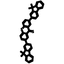 CC1(C)c2ccccc2-c2ccc(-c3ccc4sc5ccc(-c6ccc7c(c6)C(C)(C)c6ccccc6-7)cc5c(=S)c4c3)cc21